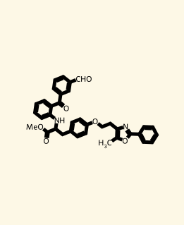 COC(=O)C(Cc1ccc(OCCc2nc(-c3ccccc3)oc2C)cc1)Nc1ccccc1C(=O)c1cccc(C=O)c1